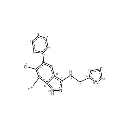 Fc1c(Cl)c(-c2ccccc2)cc2c(NCc3ccc[nH]3)n[nH]c12